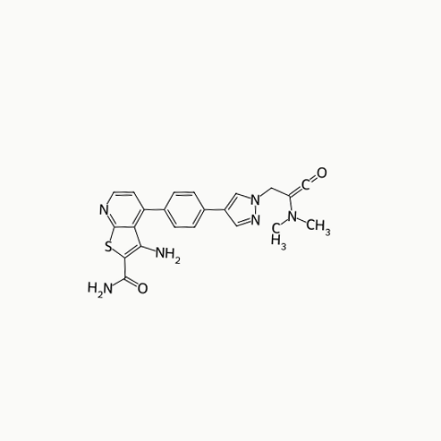 CN(C)C(=C=O)Cn1cc(-c2ccc(-c3ccnc4sc(C(N)=O)c(N)c34)cc2)cn1